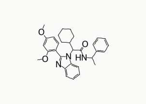 COc1ccc(-c2nc3ccccc3n2C(C(=O)NC(C)c2ccccc2)C2CCCCC2)c(OC)c1